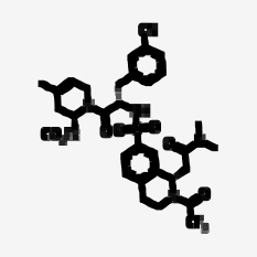 CCOC(=O)[C@H]1CC(C)=CCN1C(=O)[C@H](Cc1cccc(C#N)c1)NS(=O)(=O)c1ccc2c(c1)[C@@H](CC(=O)N(C)C)N(C(=O)C(F)(F)F)CC2